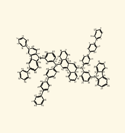 c1ccc(-c2ccc(-c3ccc(N(c4cccc(-n5c6ccccc6c6ccccc65)c4)c4cc5c6ccccc6c(N(c6ccc(-c7ccc(-c8ccccc8)cc7)cc6)c6cccc(-n7c8ccc(-c9ccccc9)cc8c8cc(-c9ccccc9)ccc87)c6)cc5c5ccccc45)cc3)cc2)cc1